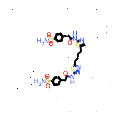 NS(=O)(=O)c1ccc(CC(=O)Nc2ncc(CCCCc3nnc(NC(=O)Cc4ccc(S(N)(=O)=O)cc4)s3)s2)cc1